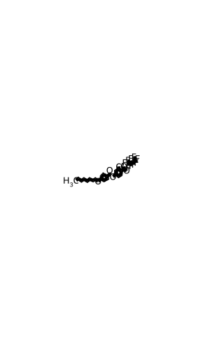 CCCCCCCCOc1ccc(C(=O)Oc2ccc(C(=O)OC(F)(F)C(F)(F)C(F)(F)C(F)(F)F)c(Cl)c2)cc1